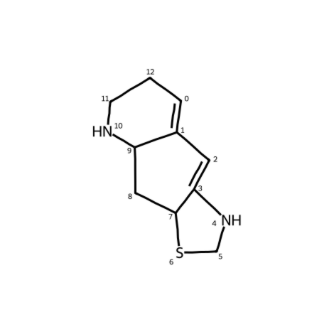 C1=C2C=C3NCSC3CC2NCC1